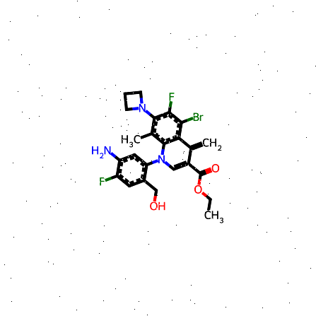 C=C1C(C(=O)OCC)=CN(c2cc(N)c(F)cc2CO)c2c(C)c(N3CCC3)c(F)c(Br)c21